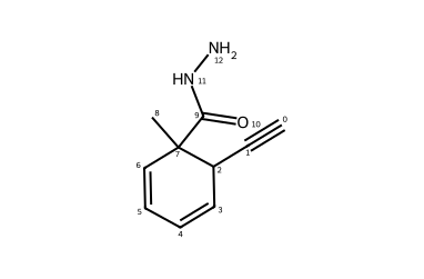 C#CC1C=CC=CC1(C)C(=O)NN